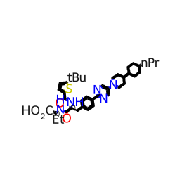 CCCC1CCC(C2CCN(c3cnc(-c4ccc(C[C@H](NC(=O)c5ccc(C(C)(C)C)s5)C(=O)N[C@H](CC)C(=O)O)cc4)nc3)CC2)CC1